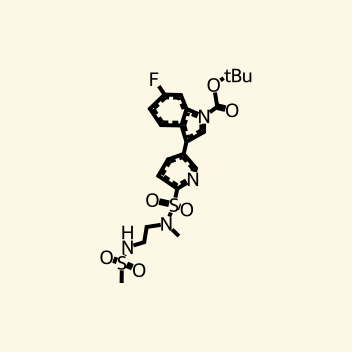 CN(CCNS(C)(=O)=O)S(=O)(=O)c1ccc(-c2cn(C(=O)OC(C)(C)C)c3cc(F)ccc23)cn1